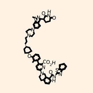 Cc1c(O[C@H]2CC[C@@H](CCCN3CCN(c4ccc5c(C6CCC(=O)NC6=O)nn(C)c5c4)CC3)CC2)cccc1-c1ccc(N2CCc3cccc(C(=O)Nc4nc5ccccc5s4)c3C2)nc1C(=O)O